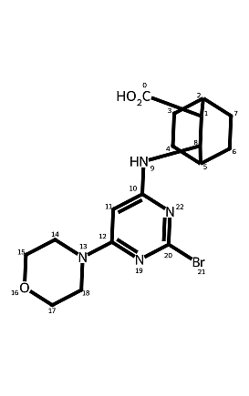 O=C(O)C1C2CCC(CC2)C1Nc1cc(N2CCOCC2)nc(Br)n1